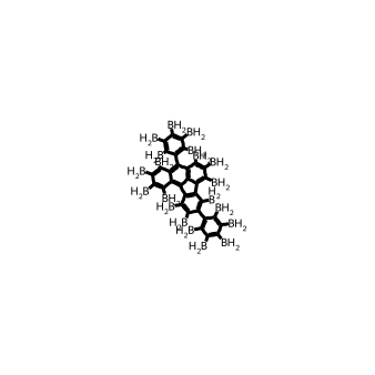 Bc1c(B)c(B)c(-c2c(B)c(B)c3c(c2B)-c2c(B)c(B)c(B)c4c(-c5c(B)c(B)c(B)c(B)c5B)c5c(B)c(B)c(B)c(B)c5c-3c24)c(B)c1B